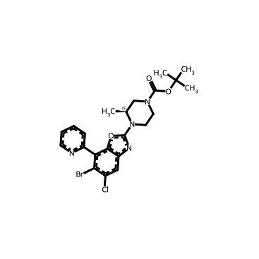 C[C@H]1CN(C(=O)OC(C)(C)C)CCN1c1nc2cc(Cl)c(Br)c(-c3ccccn3)c2o1